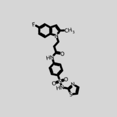 Cc1cc2cc(F)ccc2n1CCC(=O)Nc1ccc(S(=O)(=O)Nc2nccs2)cc1